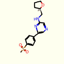 CS(=O)(=O)c1ccc(-c2cncc(NC[C@H]3CCCO3)n2)cc1